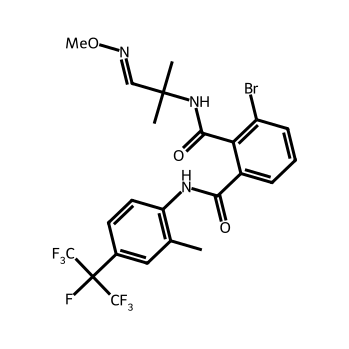 CO/N=C/C(C)(C)NC(=O)c1c(Br)cccc1C(=O)Nc1ccc(C(F)(C(F)(F)F)C(F)(F)F)cc1C